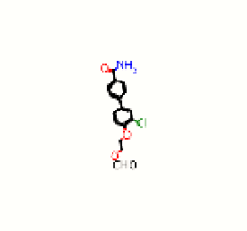 NC(=O)c1ccc(-c2ccc(OCCOC=O)c(Cl)c2)cc1